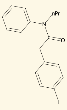 CCCN(C(=O)Cc1ccc(I)cc1)c1ccccc1